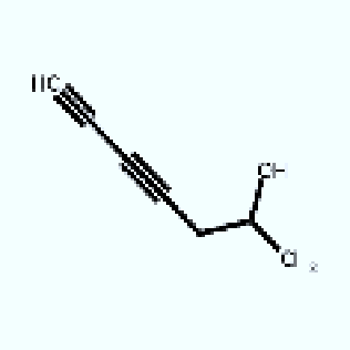 C#CC#CCC(C)O